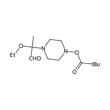 CCOC(C)(C=O)N1CCN(OC(=O)C(C)(C)C)CC1